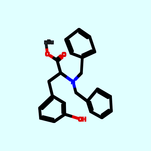 CCCCOC(=O)C(Cc1cccc(O)c1)N(Cc1ccccc1)Cc1ccccc1